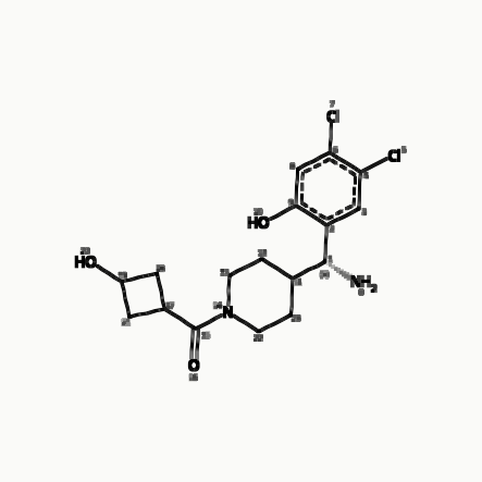 N[C@@H](c1cc(Cl)c(Cl)cc1O)C1CCN(C(=O)C2CC(O)C2)CC1